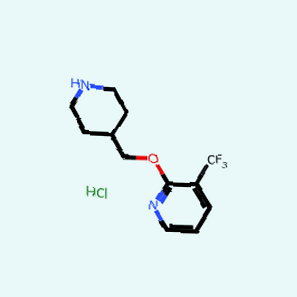 Cl.FC(F)(F)c1cccnc1OCC1CCNCC1